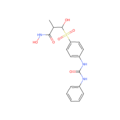 CC(C(=O)NO)C(O)S(=O)(=O)c1ccc(NC(=O)Nc2ccccc2)cc1